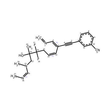 C=N/C=C(C#Cc1cccc(C#N)c1)\C=C/CC(F)(F)C(C)(O)CN(N)/C=N\N